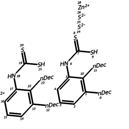 CCCCCCCCCCc1cccc(NC(=S)S)c1CCCCCCCCCC.CCCCCCCCCCc1cccc(NC(=S)S)c1CCCCCCCCCC.[S-2].[S-2].[Zn+2].[Zn+2].[Zn+2]